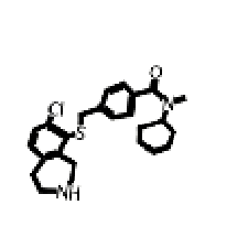 CN(C(=O)c1ccc(CSc2c(Cl)ccc3c2CCNCC3)cc1)C1CCCCC1